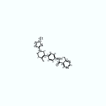 CCn1nnc(N2CCC(C)=C(c3ccc(NC(=O)c4cncnc4C)cc3)C2)n1